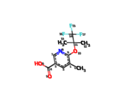 Cc1cc(C(=O)O)cnc1OC(C)(C)C(F)(F)F